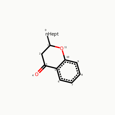 CCCCCCCC1CC(=O)c2ccccc2O1